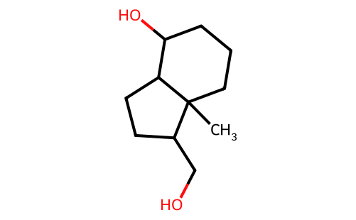 CC12CCCC(O)C1CCC2CO